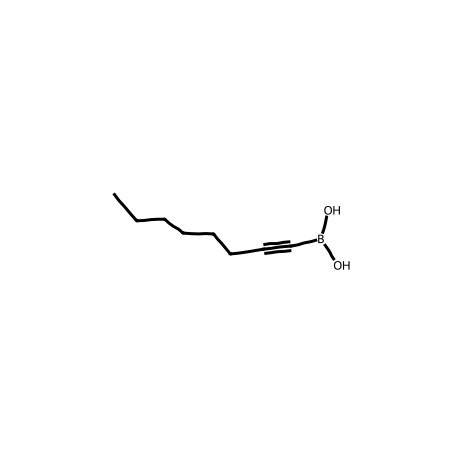 CCCCCCC#CB(O)O